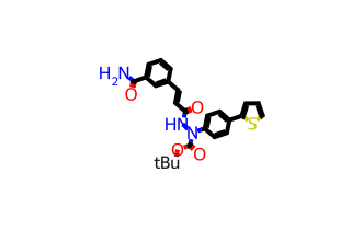 CC(C)(C)OC(=O)N(NC(=O)C=Cc1cccc(C(N)=O)c1)c1ccc(-c2cccs2)cc1